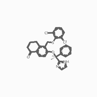 C[C@](Oc1ccc2c(c1CSc1c(Cl)cccc1Cl)CCCC2=O)(c1ccccc1)c1ncc[nH]1